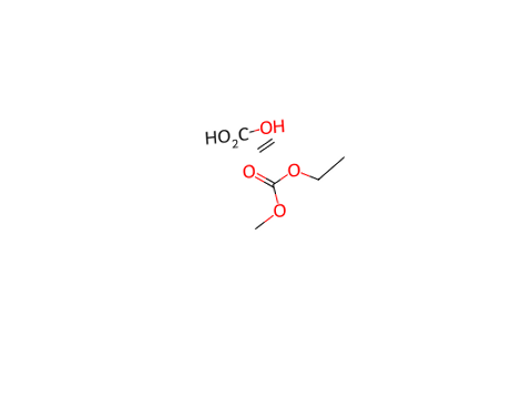 C=C.CCOC(=O)OC.O=C(O)O